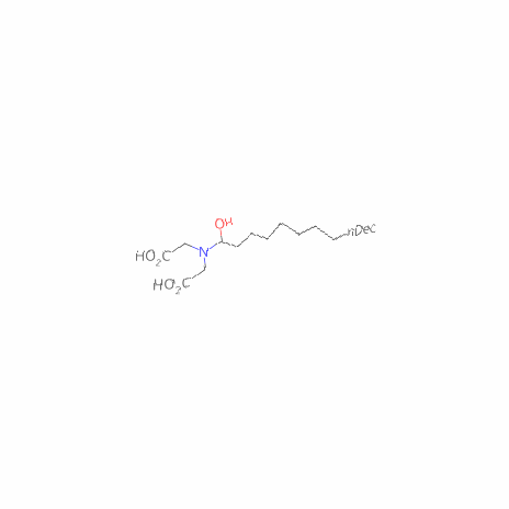 CCCCCCCCCCCCCCCCCC(O)N(CC(=O)O)CC(=O)O